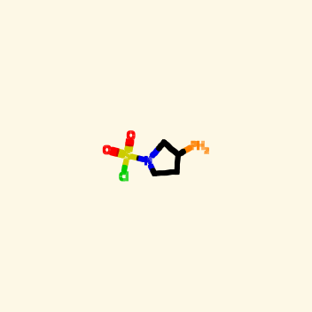 O=S(=O)(Cl)N1CCC(P)C1